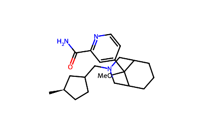 COC1(c2ccnc(C(N)=O)c2)C2CCCC1CN(CC1CC[C@@H](C)C1)C2